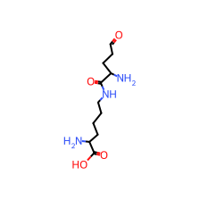 NC(CCCCNC(=O)C(N)CCC=O)C(=O)O